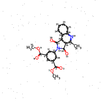 COC(=O)c1cc(C(=O)OC)cc(N2C(=O)c3c(C)nc4ccccc4c3C2=O)c1